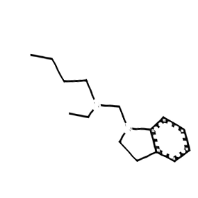 CCCCN(CC)CN1CCc2ccccc21